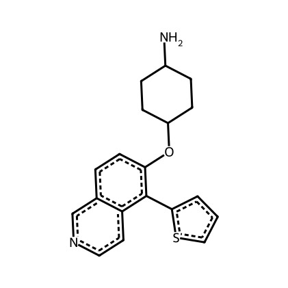 NC1CCC(Oc2ccc3cnccc3c2-c2cccs2)CC1